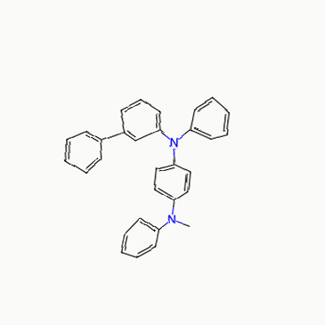 CN(c1ccccc1)c1ccc(N(c2ccccc2)c2cccc(-c3ccccc3)c2)cc1